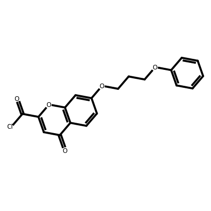 O=C(Cl)c1cc(=O)c2ccc(OCCCOc3ccccc3)cc2o1